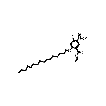 CCCCCCCCCCCCCCCCOc1cc(Cl)c([N+](=O)[O-])cc1C(=O)OCC